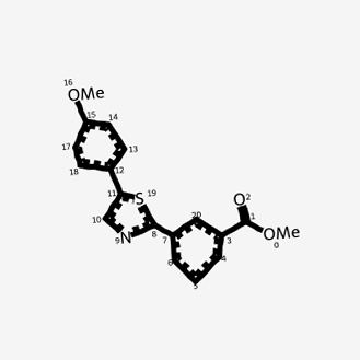 COC(=O)c1cccc(-c2ncc(-c3ccc(OC)cc3)s2)c1